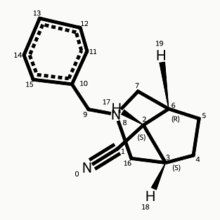 N#C[C@H]1[C@@H]2CC[C@H]1CN(Cc1ccccc1)C2